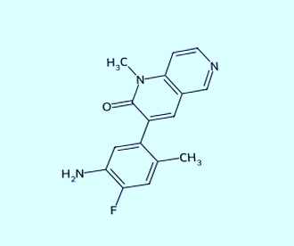 Cc1cc(F)c(N)cc1-c1cc2cnccc2n(C)c1=O